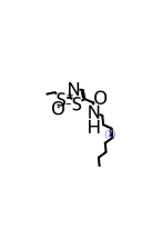 CCCC/C=C\CCNC(=O)c1cnc([S+]([O-])CC)s1